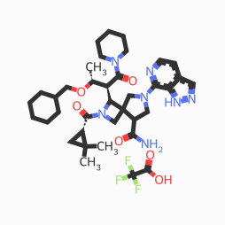 C[C@@H](OCC1CCCCC1)[C@@H](C(=O)N1CCCCC1)C1N(C(=O)[C@H]2CC2(C)C)CC12CN(c1nccc3cn[nH]c13)CC2C(N)=O.O=C(O)C(F)(F)F